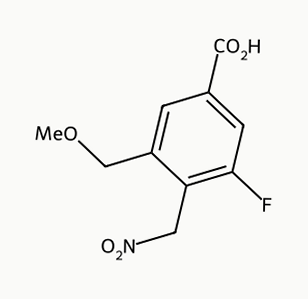 COCc1cc(C(=O)O)cc(F)c1C[N+](=O)[O-]